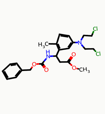 COC(=O)CC(NC(=O)OCc1ccccc1)c1cc(N(CCCl)CCCl)ccc1C